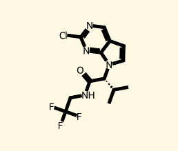 CC(C)[C@H](C(=O)NCC(F)(F)F)n1ccc2cnc(Cl)nc21